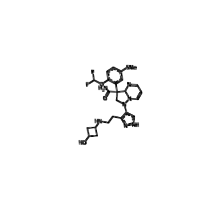 CSc1ccc(OC(F)F)c(C2(C(N)=O)CN(c3c[nH]nc3CCNC3CC(O)C3)N3C=CC=NC32)c1